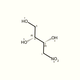 O=[N+]([O-])C[C@@H](O)[C@H](O)CO